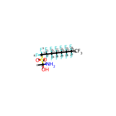 CC(N)(O)S(=O)(=O)C(F)(F)C(F)(F)C(F)(F)C(F)(F)C(F)(F)C(F)(F)C(F)(F)C(F)(F)F